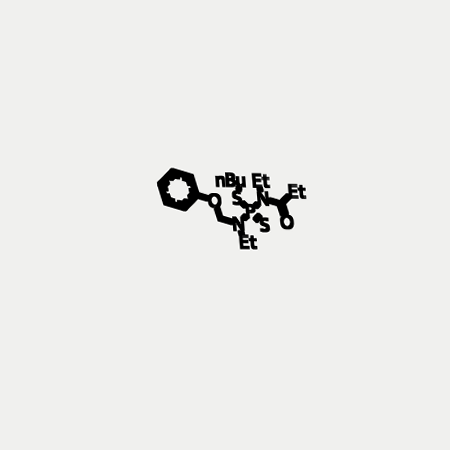 CCCCSP(=S)(N(CC)COc1ccccc1)N(CC)C(=O)CC